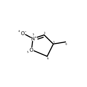 CC1C=[N+]([O-])OC1